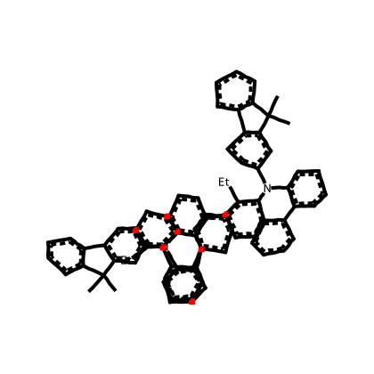 CCc1ccccc1-c1ccccc1Cc1c(-c2cccc(N(c3ccc4c(c3)C(C)(C)c3ccccc3-4)c3ccccc3-c3ccccc3)c2CC)cccc1N(c1ccc2c(c1)C(C)(C)c1ccccc1-2)c1ccccc1-c1ccccc1